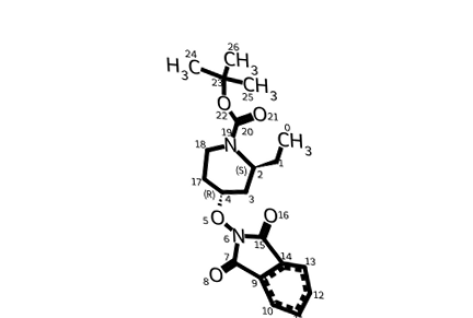 CC[C@H]1C[C@H](ON2C(=O)c3ccccc3C2=O)CCN1C(=O)OC(C)(C)C